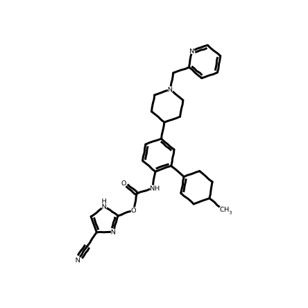 CC1CC=C(c2cc(C3CCN(Cc4ccccn4)CC3)ccc2NC(=O)Oc2nc(C#N)c[nH]2)CC1